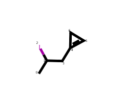 CC(I)CC1=CC1